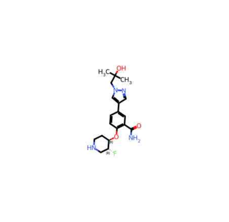 CC(C)(O)Cn1cc(-c2ccc(O[C@@H]3CCNC[C@H]3F)c(C(N)=O)c2)cn1